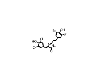 CN1C(=O)/C(=C/c2cc(Cl)c(O)c(Cl)c2)N=C1/C=C/c1cc(Br)c(O)c(Br)c1